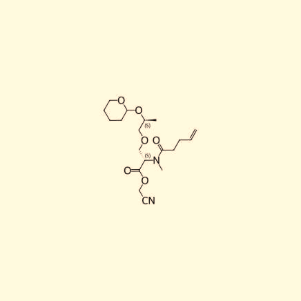 C=CCCC(=O)N(C)[C@@H](COC[C@H](C)OC1CCCCO1)C(=O)OCC#N